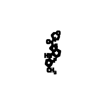 Cc1ccc(Nc2cccc3sc(C(=O)N4CCOCC4)cc23)c(F)c1